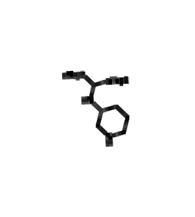 CCCCCCCC(CCCCCCC)NC1CCCNC1